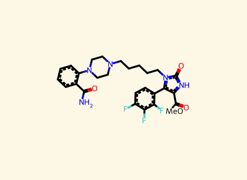 COC(=O)c1[nH]c(=O)n(CCCCCN2CCN(c3ccccc3C(N)=O)CC2)c1-c1ccc(F)c(F)c1F